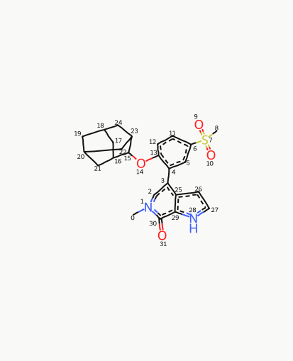 Cn1cc(-c2cc(S(C)(=O)=O)ccc2OC2C3CC4CC(C3)CC2C4)c2cc[nH]c2c1=O